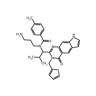 Cc1ccc(C(=O)N(CCCN)C(c2nc3cc4[nH]ccc4cc3c(=O)n2Cc2cccs2)C(C)C)cc1